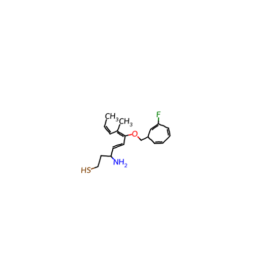 C\C=C/C(C)=C(\C=C\C(N)CCS)OCC1C=CC=CC(F)=C1